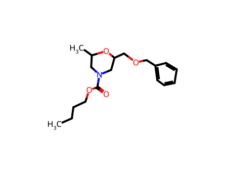 CCCCOC(=O)N1CC(C)OC(COCc2ccccc2)C1